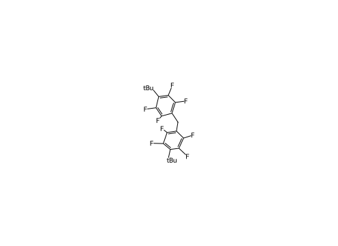 CC(C)(C)c1c(F)c(F)c(Cc2c(F)c(F)c(C(C)(C)C)c(F)c2F)c(F)c1F